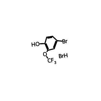 Br.Oc1ccc(Br)cc1OC(F)(F)F